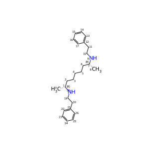 C[C@H](CCCCC[C@@H](C)NCCc1ccccc1)NCCc1ccccc1